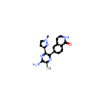 Cn1ccc(-c2nc(N)c(C#N)nc2-c2ccc3c(=O)[nH]ccc3c2)n1